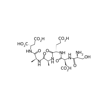 C[C@H](NC(=O)[C@H](C)NC(=O)[C@H](CCC(=O)O)NC(=O)[C@H](CC(=O)O)NC(=O)[C@@H](N)CO)C(=O)N[C@@H](CC(=O)O)C(=O)O